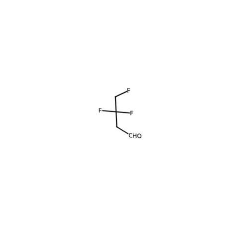 O=CCC(F)(F)CF